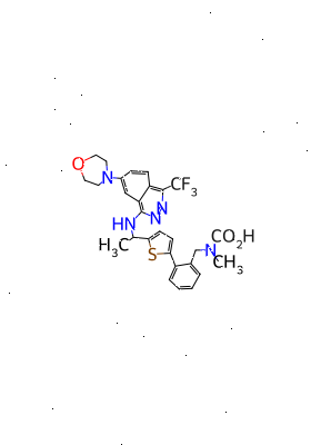 CC(Nc1nnc(C(F)(F)F)c2ccc(N3CCOCC3)cc12)c1ccc(-c2ccccc2CN(C)C(=O)O)s1